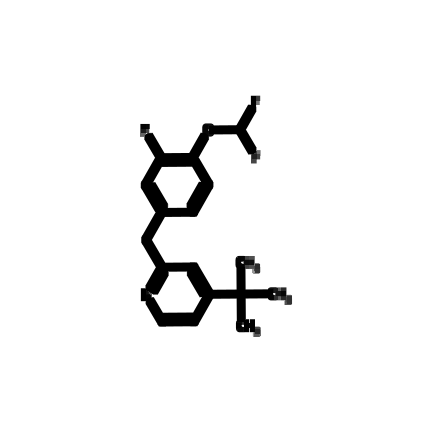 CC(C)(C)c1ccnc(Cc2ccc(OC(F)F)c(F)c2)c1